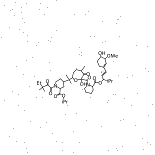 CCC(C)(C)C(=O)C(=O)N1CCC(C(C)(C)C2CCC(C)C(=O)C(O)(C(=O)N3CCCCC3C(=O)OC(/C=C/C3=CC(OC)C(O)CC3)C(C)C)O2)CC1C(=O)OC(C)C